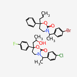 C=CCC1(c2ccccc2)CCN(C(C)c2ccc(Br)cc2)C(=O)O1.CC(O)CC1(c2ccc(F)cc2)CCN(C(C)c2ccc(Cl)cc2)C(=O)O1